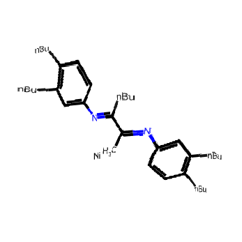 CCCCC(=N\c1ccc(CCCC)c(CCCC)c1)/C(C)=N/c1ccc(CCCC)c(CCCC)c1.[Ni]